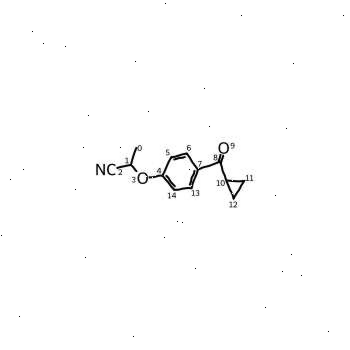 CC(C#N)Oc1ccc(C(=O)C2CC2)cc1